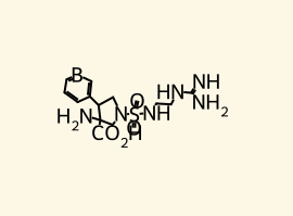 N=C(N)NCCNS(=O)(=O)N1CC(c2cbccc2)C(N)(C(=O)O)C1